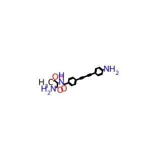 C[C@@H](O)[C@H](NC(=O)c1ccc(C#CC#Cc2ccc(N)cc2)cc1)C(N)=O